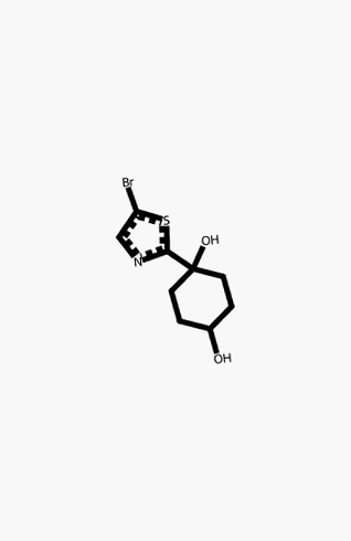 OC1CCC(O)(c2ncc(Br)s2)CC1